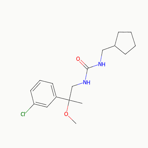 COC(C)(CNC(=O)NCC1CCCC1)c1cccc(Cl)c1